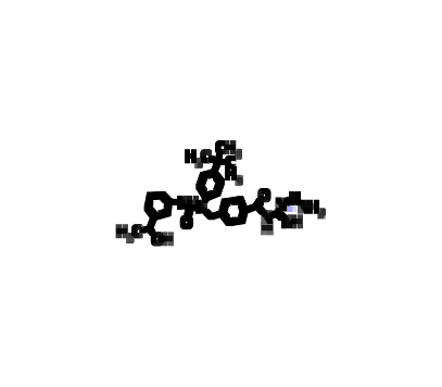 CC(O)c1cccc(NC(=O)N(Cc2ccc(C(=O)NC(=N)/N=N\N)cc2)c2ccc(C(C)(C)C)cc2)c1